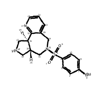 CC(C)(C)c1ccc(S(=O)(=O)N2Cc3cccnc3[C@@H]3CNC[C@H]3C2)cc1